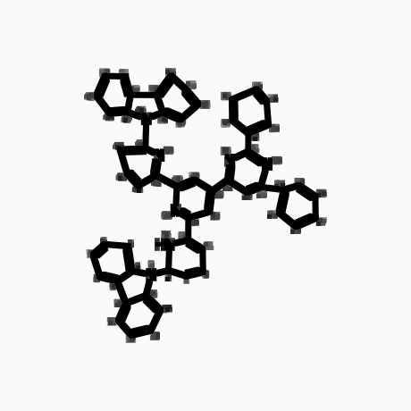 C1=CC(n2c3ccccc3c3ccccc32)NC(c2cc(-c3cc(-c4ccccc4)nc(-c4ccccc4)n3)cc(-c3cccc(-n4c5ccccc5c5ccccc54)n3)n2)=C1